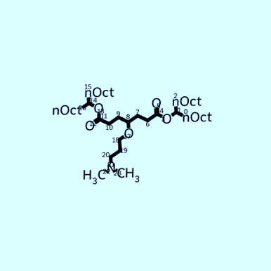 CCCCCCCCC(CCCCCCCC)OC(=O)CCC(CCC(=O)OC(CCCCCCCC)CCCCCCCC)OCCCN(C)C